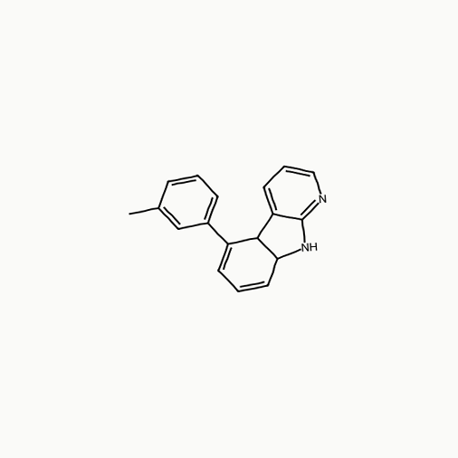 Cc1cccc(C2=CC=CC3Nc4ncccc4C23)c1